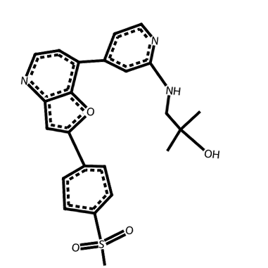 CC(C)(O)CNc1cc(-c2ccnc3cc(-c4ccc(S(C)(=O)=O)cc4)oc23)ccn1